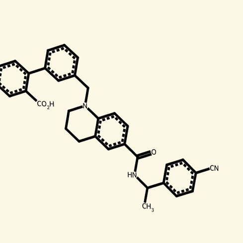 CC(NC(=O)c1ccc2c(c1)CCCN2Cc1cccc(-c2ccccc2C(=O)O)c1)c1ccc(C#N)cc1